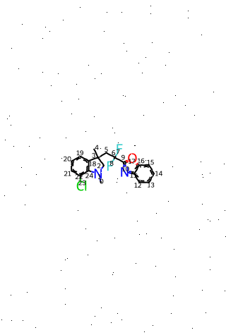 CN1CC(C)(CC(F)(F)c2nc3ccccc3o2)c2cccc(Cl)c21